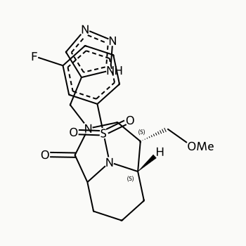 COC[C@H]1CN(Cc2cnn[nH]2)C(=O)C2CCC[C@@H]1N2S(=O)(=O)c1cccc(F)c1